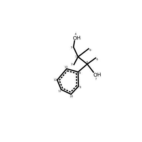 CC(C)(CO)C(C)(O)c1ccccc1